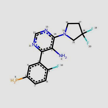 Nc1c(-c2cc(P)ccc2F)ncnc1N1CCC(F)(F)C1